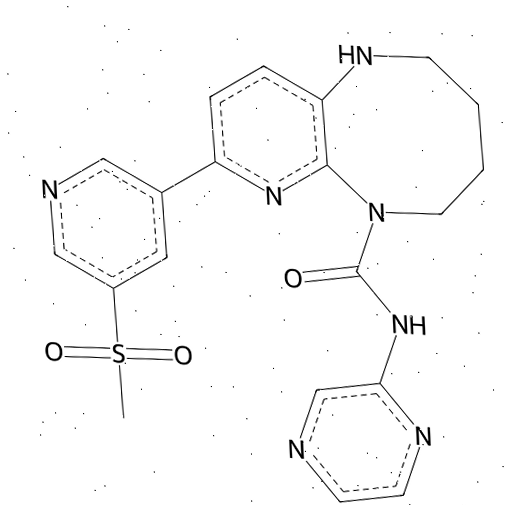 CS(=O)(=O)c1cncc(-c2ccc3c(n2)N(C(=O)Nc2cnccn2)CCCCN3)c1